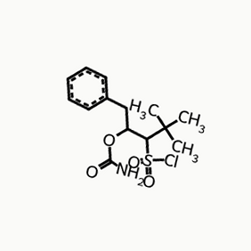 CC(C)(C)C(C(Cc1ccccc1)OC(N)=O)S(=O)(=O)Cl